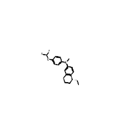 CC[C@@H]1CCCc2cc(N(C)c3ccc(OC(F)F)cc3)ccc21